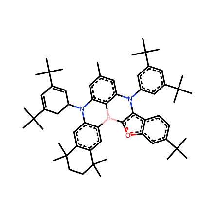 Cc1cc2c3c(c1)N(C1C=C(C(C)(C)C)C=C(C(C)(C)C)C1)c1cc4c(cc1B3c1oc3cc(C(C)(C)C)ccc3c1N2c1cc(C(C)(C)C)cc(C(C)(C)C)c1)C(C)(C)CCC4(C)C